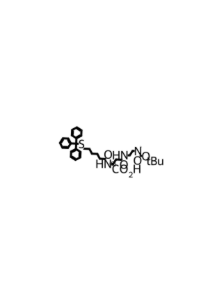 CN(CCNC(=O)C[C@H](NC(=O)CCCCCSC(c1ccccc1)(c1ccccc1)c1ccccc1)C(=O)O)C(=O)OC(C)(C)C